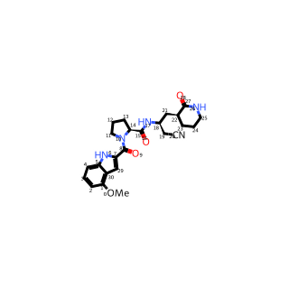 COc1cccc2[nH]c(C(=O)N3CCC[C@H]3C(=O)N[C@H](CC#N)C[C@@H]3CCCNC3=O)cc12